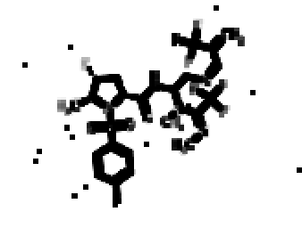 C=C(/C=N\CC(NC(=O)[C@@H]1C[C@@H](F)[C@H](C)N1S(=O)(=O)c1ccc(F)cc1)N(C)/C(=N\C)C(F)(F)F)C(F)(F)F